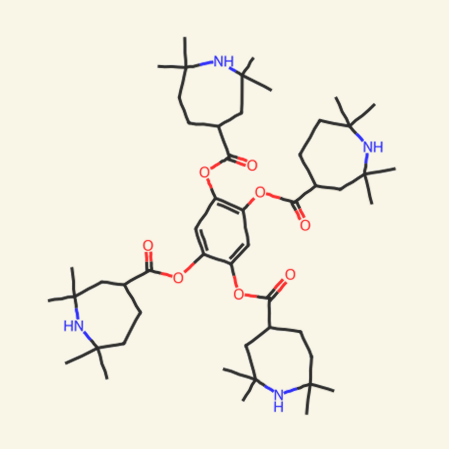 CC1(C)CCC(C(=O)Oc2cc(OC(=O)C3CCC(C)(C)NC(C)(C)C3)c(OC(=O)C3CCC(C)(C)NC(C)(C)C3)cc2OC(=O)C2CCC(C)(C)NC(C)(C)C2)CC(C)(C)N1